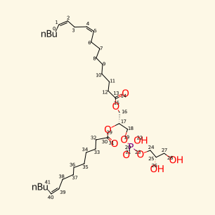 CCCC/C=C\C/C=C\CCCCCCCC(=O)OC[C@H](COP(=O)(O)OC[C@@H](O)CO)OC(=O)CCCCCCC/C=C\CCCC